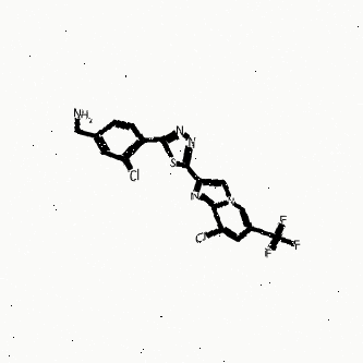 NCc1ccc(-c2nnc(-c3cn4cc(C(F)(F)F)cc(Cl)c4n3)s2)c(Cl)c1